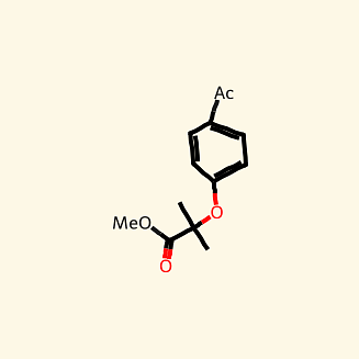 COC(=O)C(C)(C)Oc1ccc(C(C)=O)cc1